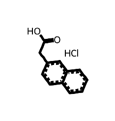 Cl.O=C(O)Cc1ccc2ccccc2c1